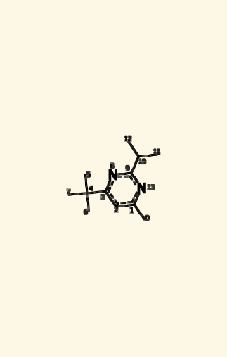 Cc1cc(C(C)(C)C)nc(C(C)C)n1